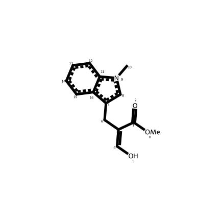 COC(=O)C(=CO)Cc1cn(C)c2ccccc12